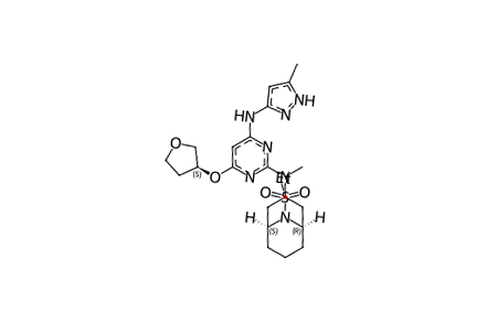 CCS(=O)(=O)N1[C@@H]2CCC[C@H]1CC(N(C)c1nc(Nc3cc(C)[nH]n3)cc(O[C@H]3CCOC3)n1)C2